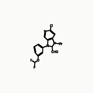 CC(C)N1c2cc(Cl)ncc2N(c2cccc(OC(F)F)c2)C1C=O